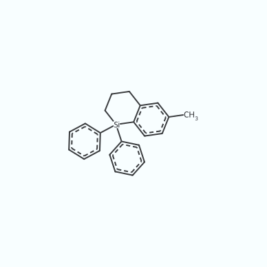 Cc1ccc2c(c1)CCC[Si]2(c1ccccc1)c1ccccc1